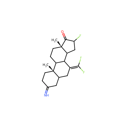 C[C@]12CCC(=N)CC1CC(=C(F)F)C1C2CC[C@]2(C)C(=O)C(F)CC12